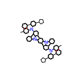 Cc1ccc(N(c2cc(C3CCCC3)ccc2-c2ccccc2)c2ccc3c4cc5c(cc4n4c6ccccc6c2c34)c2ccc(N(c3ccc(C)cc3)c3cc(C4CCCC4)ccc3-c3ccccc3)c3c4ccccc4n5c23)cc1